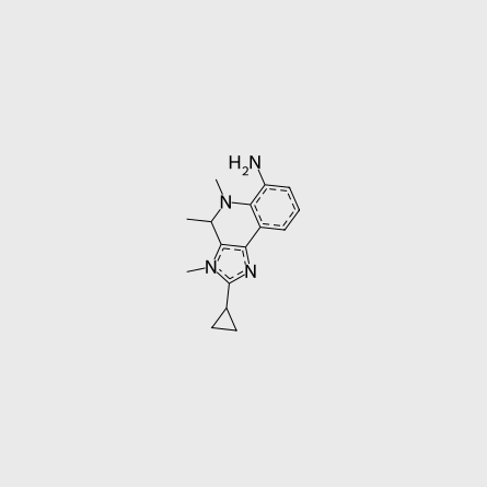 CC1c2c(nc(C3CC3)n2C)-c2cccc(N)c2N1C